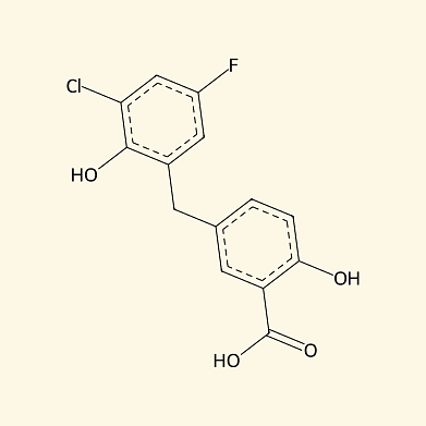 O=C(O)c1cc(Cc2cc(F)cc(Cl)c2O)ccc1O